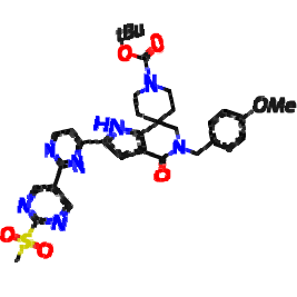 COc1ccc(CN2CC3(CCN(C(=O)OC(C)(C)C)CC3)c3[nH]c(-c4ccnc(-c5cnc(S(C)(=O)=O)nc5)n4)cc3C2=O)cc1